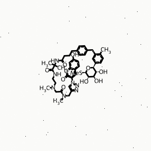 CS[C@H]1O[C@@H](c2ccc(C)c(Cc3ccc(CCCC(=O)NC(C)(C)C(=O)NCCN(C)CC(=O)N(C)Cc4cn(-c5cc6ccc(O)cc6oc5=O)nn4)cc3)c2)[C@H](O)[C@@H](O)[C@@H]1O